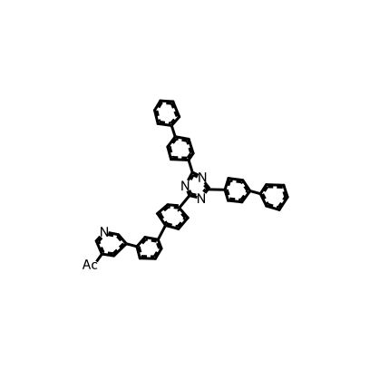 CC(=O)c1cncc(-c2cccc(-c3ccc(-c4nc(-c5ccc(-c6ccccc6)cc5)nc(-c5ccc(-c6ccccc6)cc5)n4)cc3)c2)c1